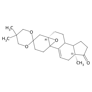 CC1(C)COC2(CCC34O[C@]3(CCC3C4=CC[C@]4(C)C(=O)CCC34)C2)OC1